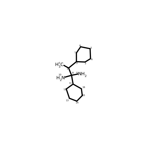 CC(C1CCCCC1)C(N)(N)C1CCCCC1